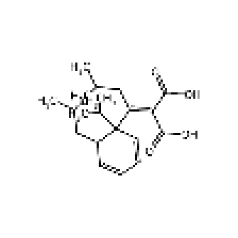 CC(C)CC(=C(C(=O)O)C(=O)O)C1(C(C)C)C=CC=CC1CC(C)C